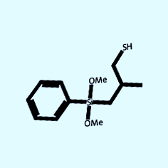 CO[Si](CC(C)CS)(OC)c1ccccc1